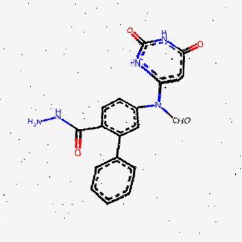 NNC(=O)c1ccc(N(C=O)c2cc(=O)[nH]c(=O)[nH]2)cc1-c1ccccc1